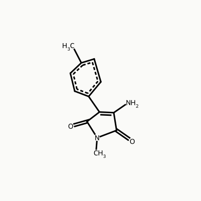 Cc1ccc(C2=C(N)C(=O)N(C)C2=O)cc1